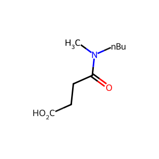 CCCCN(C)C(=O)CCC(=O)O